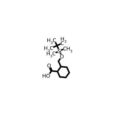 CC(C)(C)[Si](C)(C)OCC1CCCCC1C(=O)O